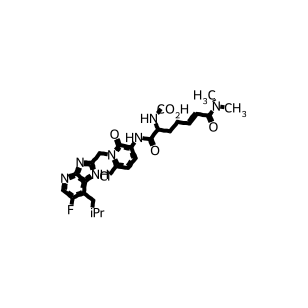 CC(C)Cc1c(F)cnc2nc(Cn3c(Cl)ccc(NC(=O)C(CCC=CC(=O)N(C)C)NC(=O)O)c3=O)[nH]c12